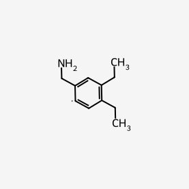 CCc1c[c]c(CN)cc1CC